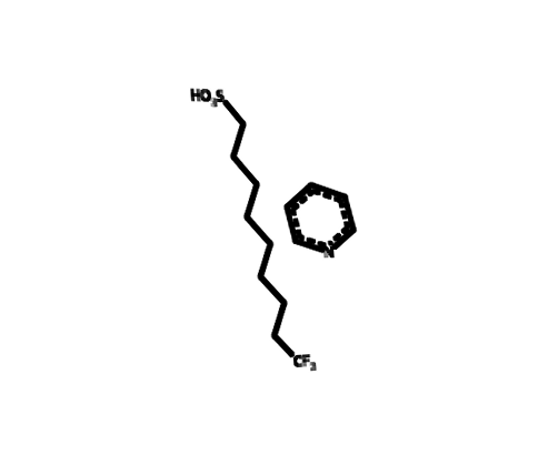 O=S(=O)(O)CCCCCCCCC(F)(F)F.c1ccncc1